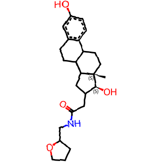 C[C@]12CCC3c4ccc(O)cc4CCC3C1CC(CC(=O)NCC1CCCO1)[C@@H]2O